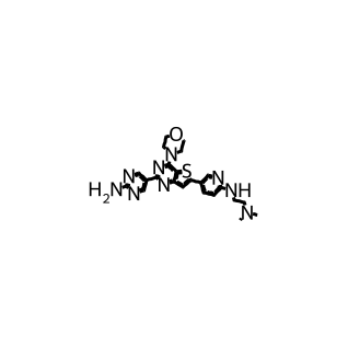 CN(C)CCNc1ccc(-c2cc3nc(-c4cnc(N)nc4)nc(N4CCOCC4)c3s2)cn1